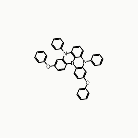 c1ccc(Oc2ccc3c(c2)N(c2ccccc2)c2cccc4c2B3c2ccc(Oc3ccccc3)cc2N4c2ccccc2)cc1